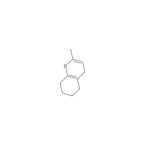 CC1=CCC2=C(CCCC2)O1